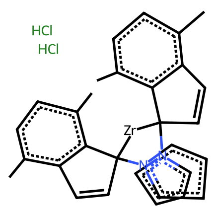 Cc1ccc(C)c2c1C=C[C]2([Zr][C]1(n2cccc2)C=Cc2c(C)ccc(C)c21)n1cccc1.Cl.Cl